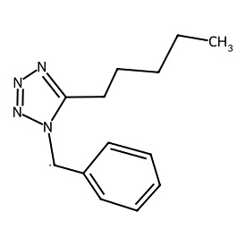 CCCCCc1nnnn1[CH]c1ccccc1